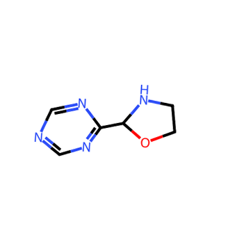 c1ncnc(C2NCCO2)n1